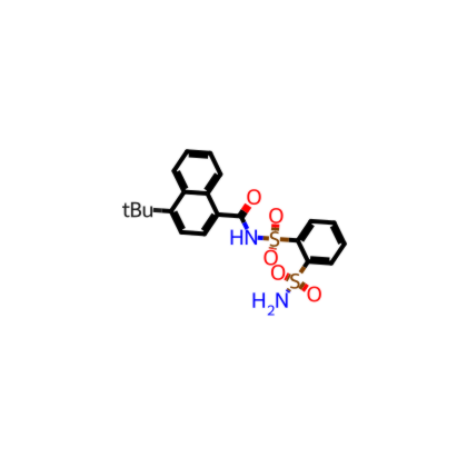 CC(C)(C)c1ccc(C(=O)NS(=O)(=O)c2ccccc2S(N)(=O)=O)c2ccccc12